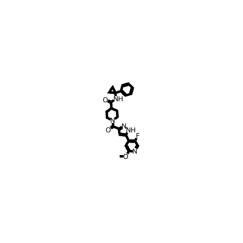 COc1cc(-c2cc(C(=O)N3CCC(C(=O)NC4(c5ccccc5)CC4)CC3)n[nH]2)c(F)cn1